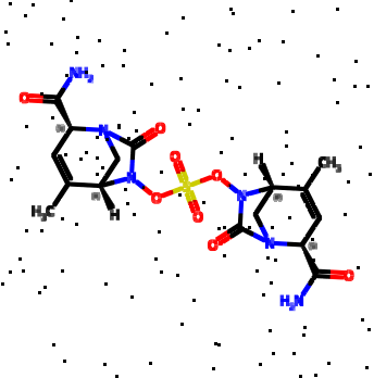 CC1=C[C@@H](C(N)=O)N2C[C@@H]1N(OS(=O)(=O)ON1C(=O)N3C[C@H]1C(C)=C[C@H]3C(N)=O)C2=O